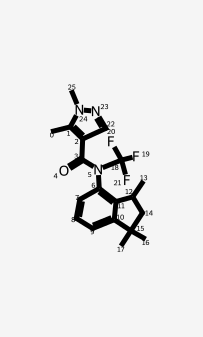 Cc1c(C(=O)N(c2cccc3c2C(C)CC3(C)C)C(F)(F)F)cnn1C